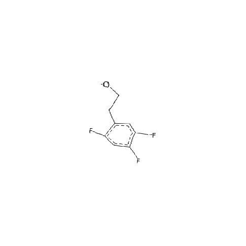 [O]CCc1cc(F)c(F)cc1F